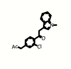 CC(=O)Cc1ccc(C(=O)Cc2cn(C)c3ccccc23)c(Cl)c1